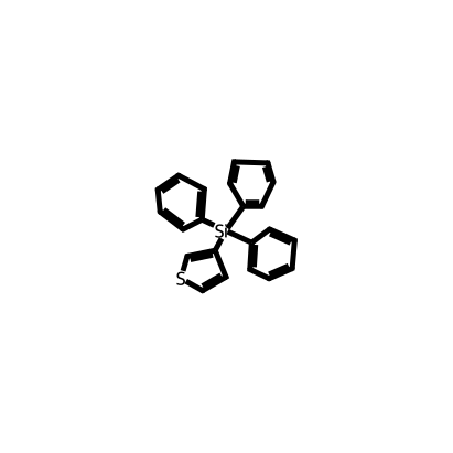 c1ccc([Si](c2ccccc2)(c2ccccc2)c2ccsc2)cc1